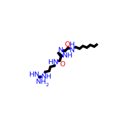 CCCCCCCNC(=O)c1ncc(C(=O)NCCCCNC(=N)N)[nH]1